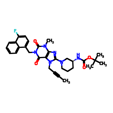 CC#CCn1c(N2CCC[C@@H](NC(=O)OC(C)(C)C)C2)nc2c1c(=O)n(Cc1ccc(F)c3ccccc13)c(=O)n2C